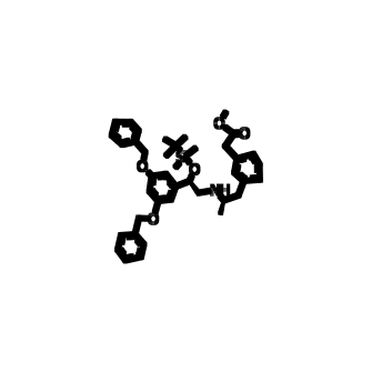 COC(=O)Cc1cccc(C[C@@H](C)NC[C@H](O[Si](C)(C)C(C)(C)C)c2cc(OCc3ccccc3)cc(OCc3ccccc3)c2)c1